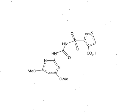 COc1cc(OC)nc(NC(=O)NS(=O)(=O)c2cscc2C(=O)O)n1